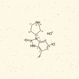 Cl.O=c1[nH]c2c(F)cc(Cl)cc2n1C1CCNCC1